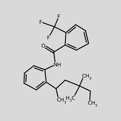 CCC(C)(C)CC(C)c1ccccc1NC(=O)c1ccccc1C(F)(F)F